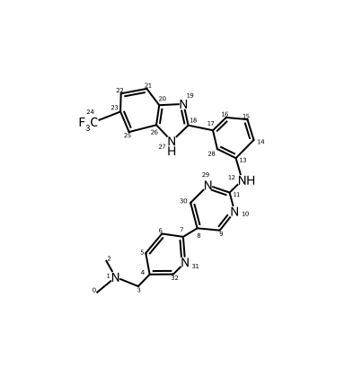 CN(C)Cc1ccc(-c2cnc(Nc3cccc(-c4nc5ccc(C(F)(F)F)cc5[nH]4)c3)nc2)nc1